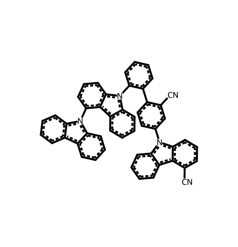 N#Cc1cc(-n2c3ccccc3c3c(C#N)cccc32)ccc1-c1ccccc1-n1c2ccccc2c2c(-n3c4ccccc4c4ccccc43)cccc21